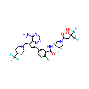 Nc1ncnn2c(-c3ccc(Cl)c(C(=O)N[C@@H]4CN(C(=O)CC(O)(C(F)(F)F)C(F)(F)F)C[C@@H]4F)c3)cc(CN3CCC(C(F)(F)F)CC3)c12